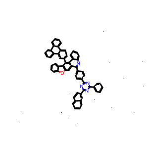 c1ccc(-c2nc(-c3ccc(-c4nc5ccccc5c5c(-c6ccc7c8ccccc8c8ccccc8c7c6)c6c(cc45)oc4ccccc46)cc3)nc(-c3ccc4ccccc4c3)n2)cc1